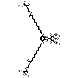 C=C(C)C(=O)OCCOC(=O)CCCCCCCCCCOc1ccc(OCCCCCCCCCCC(=O)OCCOC(=O)C(=C)C)c2c1SC(=C1C(=O)N(C)C(=O)N(C)C1=O)S2